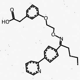 CCCCC(=NOCCOc1cccc(CC(=O)O)c1)c1ccc(-c2ccccn2)cc1